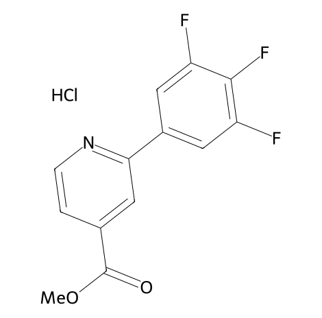 COC(=O)c1ccnc(-c2cc(F)c(F)c(F)c2)c1.Cl